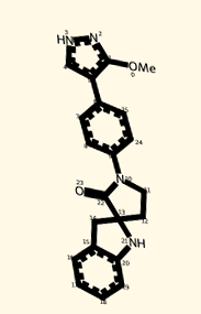 COc1n[nH]cc1-c1ccc(N2CCC3(Cc4ccccc4N3)C2=O)cc1